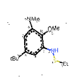 CCSNc1cc(C(C)(C)C)cc(NC)c1OC